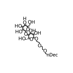 CCCCCCCCCCCOCCOCCO[C@@H]1O[C@H](CO)[C@@H](O[C@@H]2O[C@H](CO)[C@H](O)[C@H](O)[C@H]2O)[C@H](O)[C@H]1O